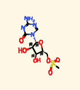 CS(=O)(=O)OC[C@H]1O[C@@H](n2cnc(N)nc2=O)[C@H](O)[C@@H]1O